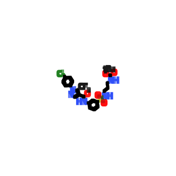 CC(C)(C)OC(=O)NCCCNS(=O)(=O)c1cccc(NC(=O)c2cnn(-c3ccc(Cl)cc3)c2C(F)(F)F)c1